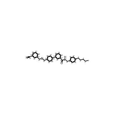 CCCCCc1ccc(CNC(=O)c2cccc(-c3ccc(C[N]Cc4cccc(C#N)c4)cc3)c2)cc1